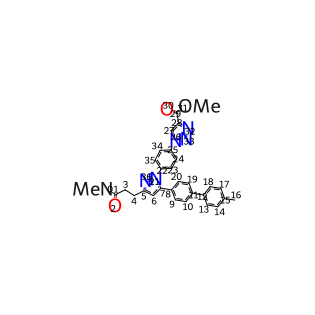 CNC(=O)CCc1cc(-c2ccc(-c3ccc(C)cc3)cc2)n(-c2ccc(-n3cc(C(=O)OC)nn3)cc2)n1